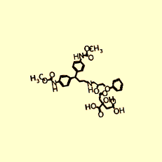 COC(=O)Nc1ccc(C(CCNC[C@@H](COc2ccccc2)OC(=O)CC(O)(CC(=O)O)C(=O)O)c2ccc(NC(=O)OC)cc2)cc1